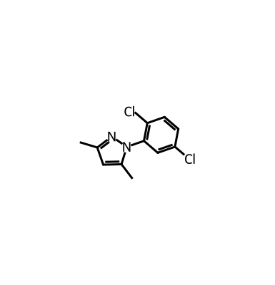 Cc1cc(C)n(-c2cc(Cl)ccc2Cl)n1